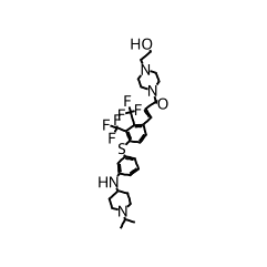 CC(C)N1CCC(Nc2cccc(Sc3ccc(/C=C/C(=O)N4CCN(CCO)CC4)c(C(F)(F)F)c3C(F)(F)F)c2)CC1